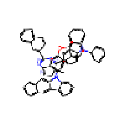 CC1C/C=C(c2cc3oc4ccccc4c3cc2-n2c3ccccc3c3cc4ccccc4cc32)/N=C(c2ccc3ccccc3c2)\N=C/1c1ccc2c(c1)c1ccccc1n2-c1ccccc1